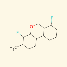 CC1CCC2C3CCCC(F)C3COC2C1F